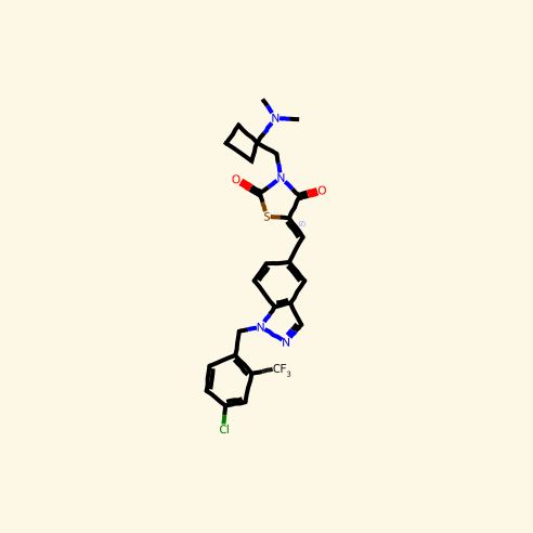 CN(C)C1(CN2C(=O)S/C(=C\c3ccc4c(cnn4Cc4ccc(Cl)cc4C(F)(F)F)c3)C2=O)CCC1